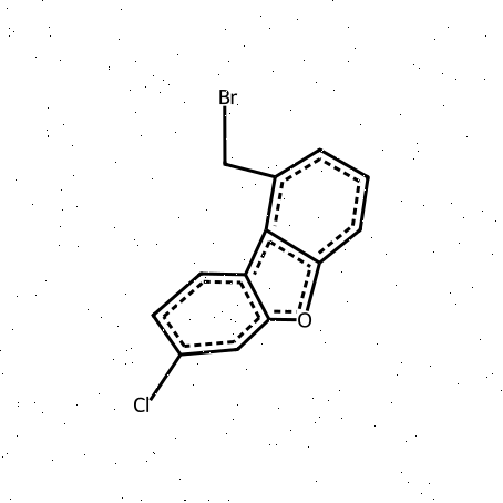 Clc1ccc2c(c1)oc1cccc(CBr)c12